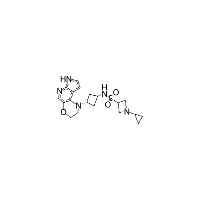 O=S(=O)(N[C@H]1C[C@@H](N2CCOc3cnc4[nH]ccc4c32)C1)C1CN(C2CC2)C1